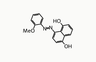 COc1ccccc1N=Nc1ccc(O)c2cccc(O)c12